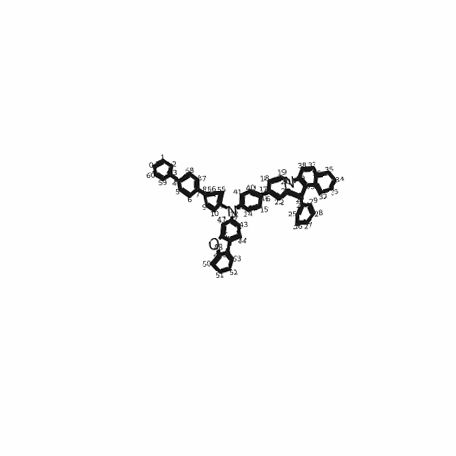 c1ccc(-c2ccc(-c3ccc(N(c4ccc(-c5ccn6c(c5)c(-c5ccccc5)c5c7ccccc7ccc56)cc4)c4ccc5c(c4)oc4ccccc45)cc3)cc2)cc1